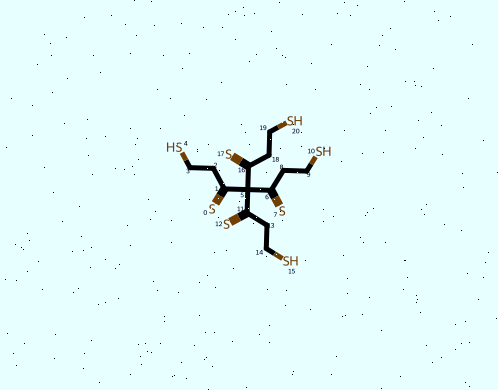 S=C(CCS)C(C(=S)CCS)(C(=S)CCS)C(=S)CCS